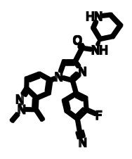 Cc1c2cc(-n3cc(C(=O)N[C@@H]4CCCNC4)nc3-c3ccc(C#N)c(F)c3)ccc2nn1C